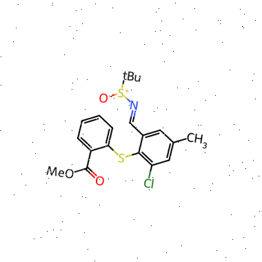 COC(=O)c1ccccc1Sc1c(Cl)cc(C)cc1C=N[S+]([O-])C(C)(C)C